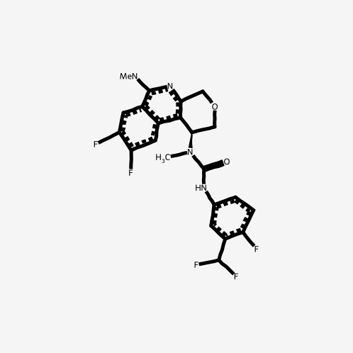 CNc1nc2c(c3cc(F)c(F)cc13)[C@H](N(C)C(=O)Nc1ccc(F)c(C(F)F)c1)COC2